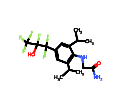 CC(C)c1cc(C(F)(F)C(O)(F)C(F)(F)F)cc(C(C)C)c1NCC(N)=O